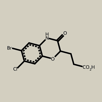 O=C(O)CCC1Oc2cc(Cl)c(Br)cc2NC1=O